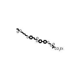 C=CC(=O)OCCCCCCOc1ccc(/C=C/C(=O)Oc2ccc(-c3ccc(OCCOC(=O)C(=C)CC(=O)OCC)cc3)cc2)cc1